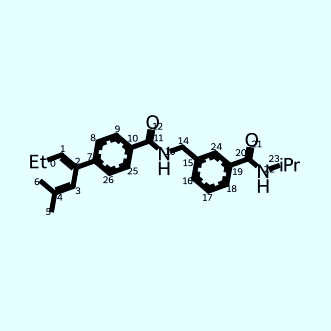 CC/C=C(\C=C(C)C)c1ccc(C(=O)NCc2cccc(C(=O)NC(C)C)c2)cc1